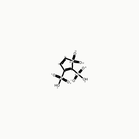 O=S(=O)(O)C1=C(S(=O)(=O)O)S(=O)(=O)C=C1